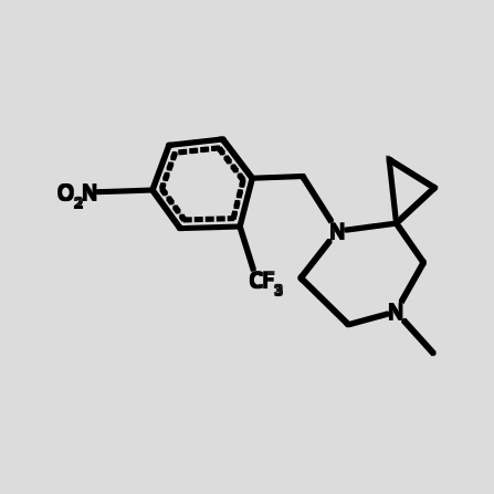 CN1CCN(Cc2ccc([N+](=O)[O-])cc2C(F)(F)F)C2(CC2)C1